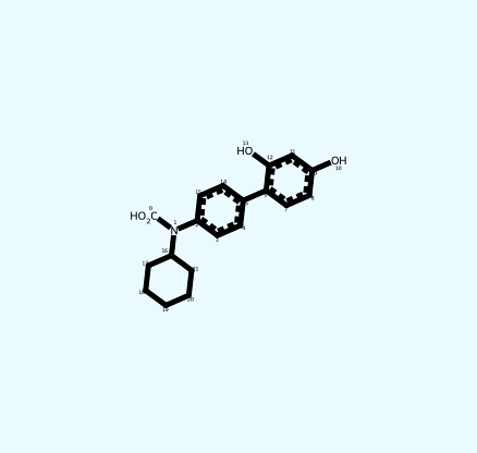 O=C(O)N(c1ccc(-c2ccc(O)cc2O)cc1)C1CCCCC1